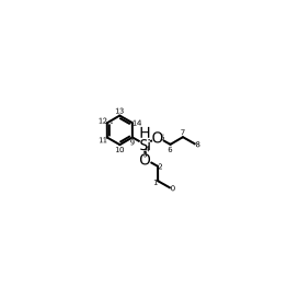 CCCO[SiH](OCCC)c1cc[c]cc1